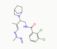 C=N/C(C)=N\C=C(/C)C(CNC(=O)c1cccc(Cl)c1Cl)N1CC2CCC1C2